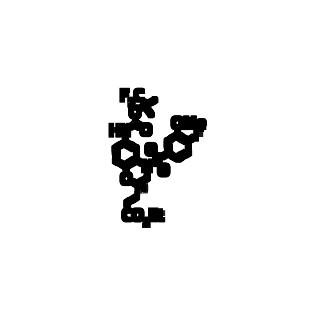 CCOC(=O)CC[C@H]1CN(S(=O)(=O)c2ccc(F)c(OC)c2)c2cc(NC(=O)OC(C)(C)C(F)(F)F)ccc2O1